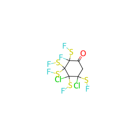 O=C1CC(Cl)(SF)C(Cl)(SF)C(SF)(SF)C1(F)SF